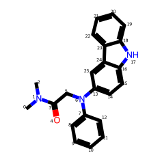 CN(C)C(=O)CN(c1ccccc1)c1ccc2[nH]c3ccccc3c2c1